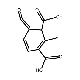 CC1=C(C(=O)O)C=CC(=C=O)C1C(=O)O